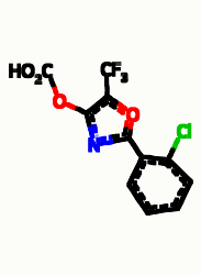 O=C(O)Oc1nc(-c2ccccc2Cl)oc1C(F)(F)F